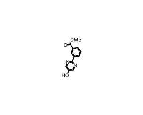 COC(=O)c1cccc(-c2ncc(O)cn2)c1